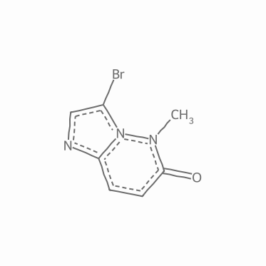 Cn1c(=O)ccc2ncc(Br)n21